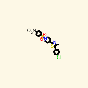 Cc1nc(C2CCN(S(=O)(=O)c3ccc([N+](=O)[O-])cc3)CC2)sc1-c1ccc(Cl)cc1